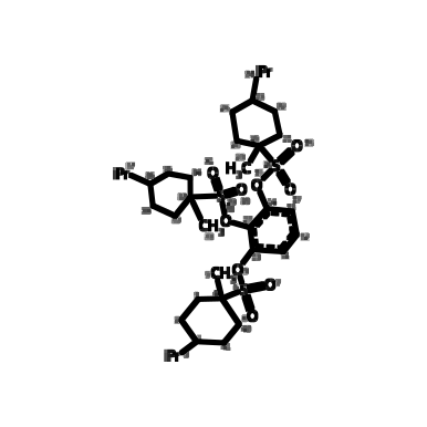 CC(C)C1CCC(C)(S(=O)(=O)Oc2cccc(OS(=O)(=O)C3(C)CCC(C(C)C)CC3)c2OS(=O)(=O)C2(C)CCC(C(C)C)CC2)CC1